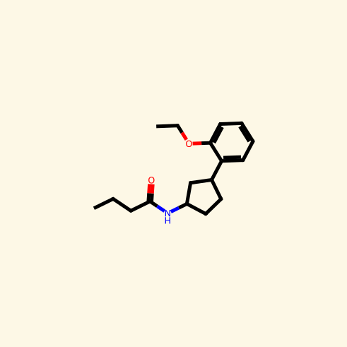 CCCC(=O)NC1CCC(c2ccccc2OCC)C1